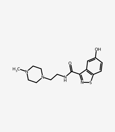 CN1CCN(CCNC(=O)c2nsc3ccc(O)cc23)CC1